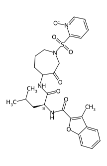 Cc1c(C(=O)N[C@@H](CC(C)C)C(=O)NC2CCCN(S(=O)(=O)c3cccc[n+]3[O-])CC2=O)oc2ccccc12